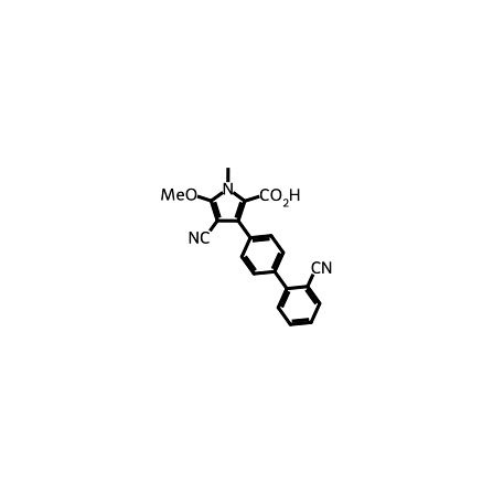 COc1c(C#N)c(-c2ccc(-c3ccccc3C#N)cc2)c(C(=O)O)n1C